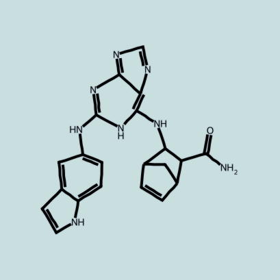 NC(=O)C1C2C=CC(C2)C1Nc1[nH]c(Nc2ccc3[nH]ccc3c2)nc2ncnc1-2